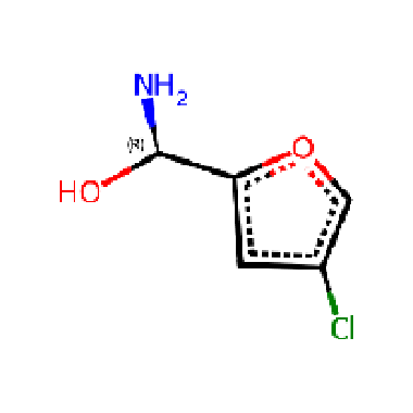 N[C@H](O)c1cc(Cl)co1